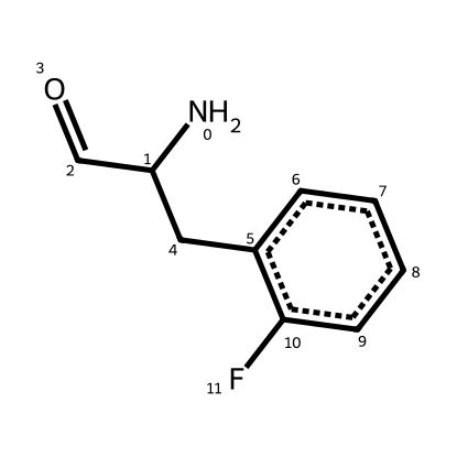 NC(C=O)Cc1ccccc1F